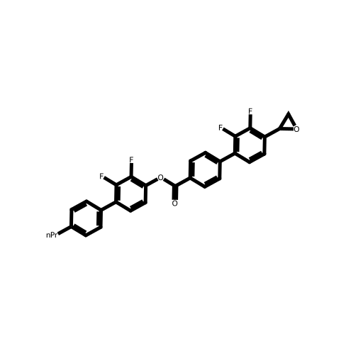 CCCc1ccc(-c2ccc(OC(=O)c3ccc(-c4ccc(C5CO5)c(F)c4F)cc3)c(F)c2F)cc1